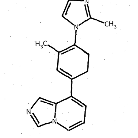 CC1=C(n2ccnc2C)CCC(c2cccn3cncc23)=C1